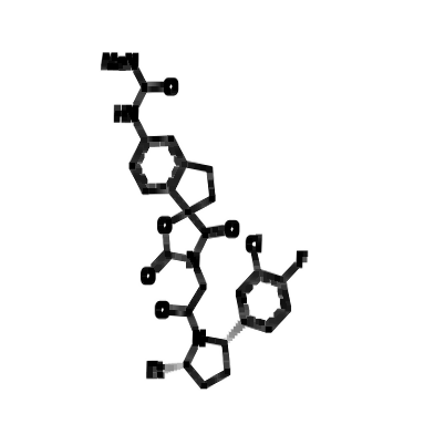 CC[C@H]1CC[C@@H](c2ccc(F)c(Cl)c2)N1C(=O)CN1C(=O)OC2(CCc3cc(NC(=O)NC)ccc32)C1=O